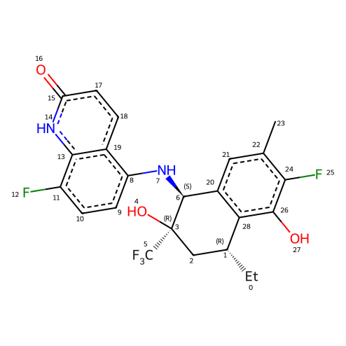 CC[C@@H]1C[C@](O)(C(F)(F)F)[C@@H](Nc2ccc(F)c3[nH]c(=O)ccc23)c2cc(C)c(F)c(O)c21